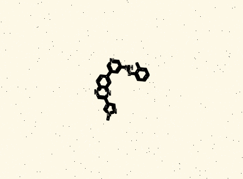 Cc1ccccc1SNc1cncc(-c2ccc3ncc(-c4cnn(C)c4)nc3c2)c1